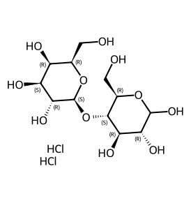 Cl.Cl.OC[C@H]1O[C@@H](O[C@H]2[C@H](O)[C@@H](O)C(O)O[C@@H]2CO)[C@H](O)[C@@H](O)[C@H]1O